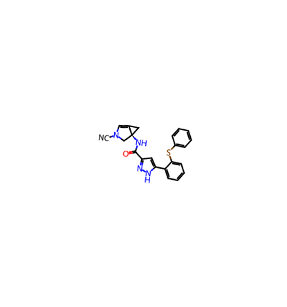 N#CN1C=C2C[C@]2(NC(=O)c2cc(-c3ccccc3Sc3ccccc3)[nH]n2)C1